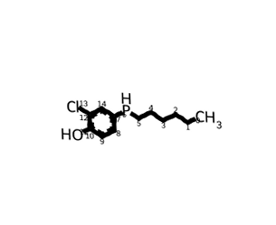 CCCCCCPc1ccc(O)c(Cl)c1